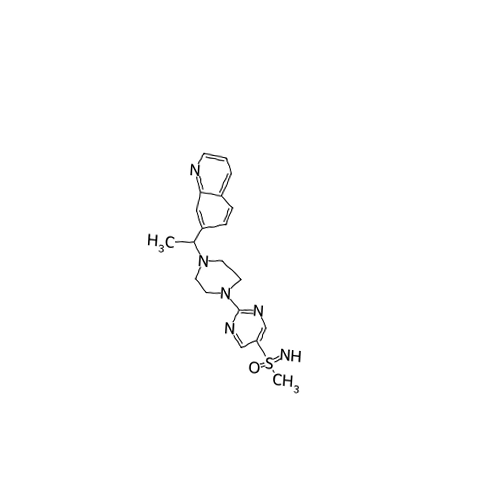 CC(c1ccc2cccnc2c1)N1CCN(c2ncc(S(C)(=N)=O)cn2)CC1